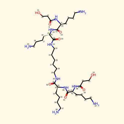 NCCCC[C@H](NC(=O)CCO)C(=O)N[C@@H](CCCCN)C(=O)NCCCCCCNC(=O)[C@H](CCCCN)NC(=O)[C@H](CCCCN)NC(=O)CCO